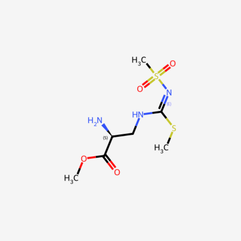 COC(=O)[C@@H](N)CN/C(=N\S(C)(=O)=O)SC